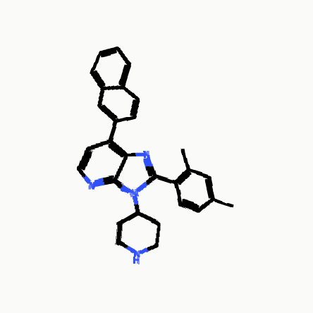 Cc1ccc(-c2nc3c(-c4ccc5ccccc5c4)ccnc3n2C2CCNCC2)c(C)c1